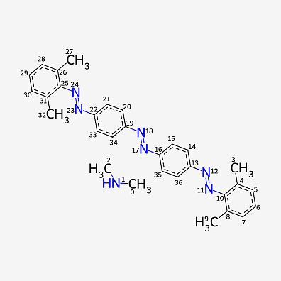 CNC.Cc1cccc(C)c1N=Nc1ccc(N=Nc2ccc(N=Nc3c(C)cccc3C)cc2)cc1